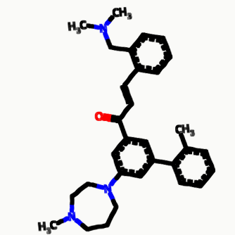 Cc1ccccc1-c1cc(C(=O)/C=C/c2ccccc2CN(C)C)cc(N2CCCN(C)CC2)c1